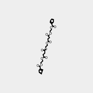 O=C(CCC(=O)OCCOC(=O)C1CC2C=CC1C2)OCCOC(=O)CCC(=O)OCCOC(=O)C1CC2C=CC1C2